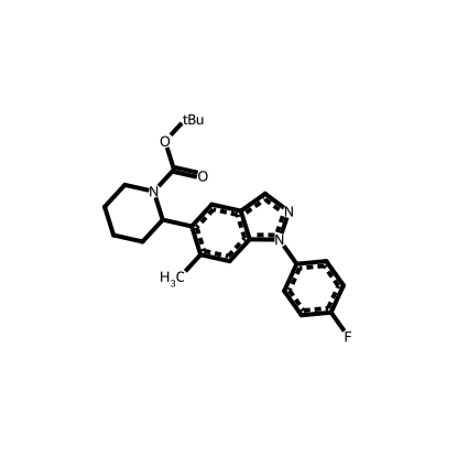 Cc1cc2c(cnn2-c2ccc(F)cc2)cc1C1CCCCN1C(=O)OC(C)(C)C